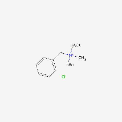 CCCCCCCC[N+](C)(CCCC)Cc1ccccc1.[Cl-]